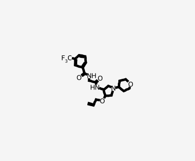 C=CCOC1CN(C2CCOCC2)CC1NC(=O)CNC(=O)c1cccc(C(F)(F)F)c1